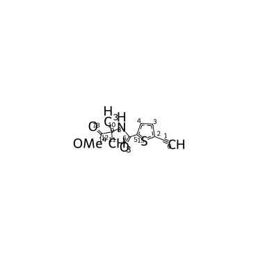 C#Cc1ccc(C(=O)NC(C)(C)C(=O)OC)s1